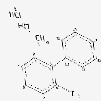 C.Cl.Cl.Fc1ccccc1-c1ccccc1